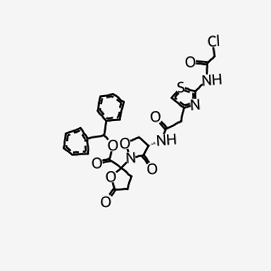 O=C(CCl)Nc1nc(CC(=O)N[C@H]2CON(C3(C(=O)OC(c4ccccc4)c4ccccc4)CCC(=O)O3)C2=O)cs1